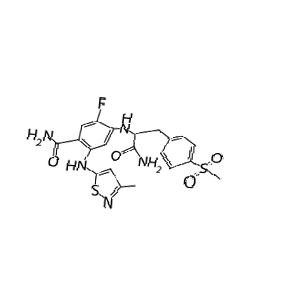 Cc1cc(Nc2cc(NC(Cc3ccc(S(C)(=O)=O)cc3)C(N)=O)c(F)cc2C(N)=O)sn1